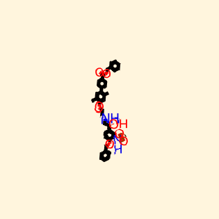 Cc1cc(-c2ccc(C(=O)OCc3ccccc3)cc2)c(C)cc1OCCNC[C@H](O)c1ccc(OCc2ccccc2)c(NS(C)(=O)=O)c1